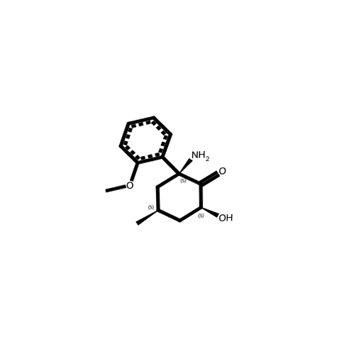 COc1ccccc1[C@@]1(N)C[C@H](C)C[C@H](O)C1=O